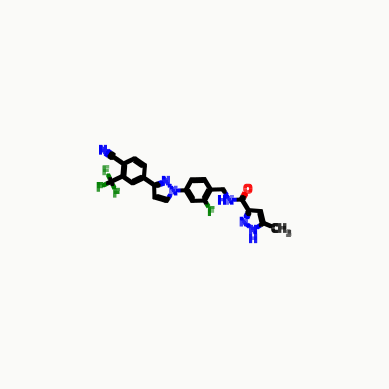 Cc1cc(C(=O)NCc2ccc(-n3ccc(-c4ccc(C#N)c(C(F)(F)F)c4)n3)cc2F)n[nH]1